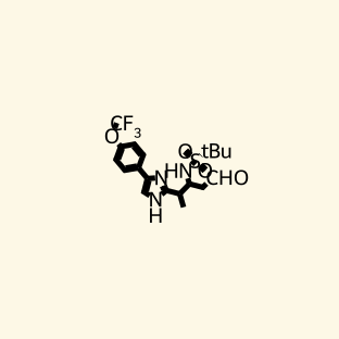 CC(c1nc(-c2ccc(OC(F)(F)F)cc2)c[nH]1)C(CC=O)NS(=O)(=O)C(C)(C)C